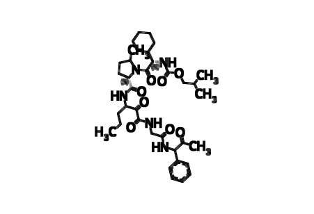 CCCC(NC(=O)[C@@H]1CCC(C)N1C(=O)[C@@H](NC(=O)OCC(C)C)C1CCCCC1)C(=O)C(=O)NCC(=O)NC(C(C)=O)c1ccccc1